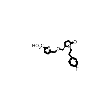 O=C(O)c1ccc(COC[C@H]2CCC(=O)N2CCc2ccc(F)cc2)s1